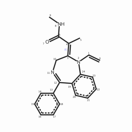 C=CN1/C(=C(\C)C(=O)NC)CN=C(c2ccccc2)c2ccccc21